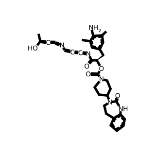 CC(O)=C=C=NC=C=C=NC(=O)[C@@H](Cc1cc(C)c(N)c(C)c1)OC(=O)N1CCC(N2CCc3ccccc3NC2=O)CC1